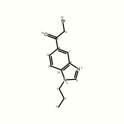 CCCn1cnc2cc(C(=O)CBr)ccc21